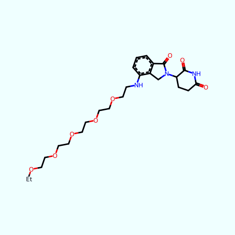 CCOCCOCCOCCOCCOCCNc1cccc2c1CN(C1CCC(=O)NC1=O)C2=O